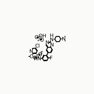 COc1ncc(Cl)cc1S(=O)(=O)Nc1ccc(F)c(-c2ccc3nc(N[C@H]4CC[C@H](N(C)C)CC4)ncc3c2)c1F.CS(=O)(=O)O